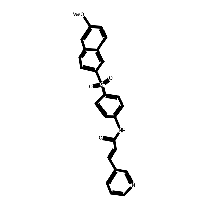 COc1ccc2cc(S(=O)(=O)c3ccc(NC(=O)C=Cc4cccnc4)cc3)ccc2c1